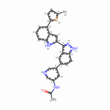 CCCC(=O)Nc1cncc(-c2ccc3[nH]nc(-c4cc5c(-c6ccc(C(C)=O)s6)cccc5[nH]4)c3c2)c1